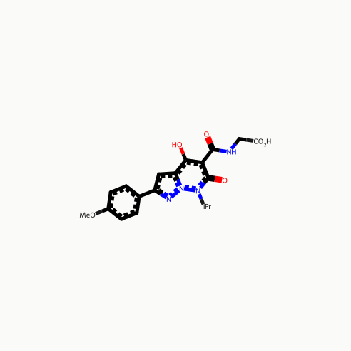 COc1ccc(-c2cc3c(O)c(C(=O)NCC(=O)O)c(=O)n(C(C)C)n3n2)cc1